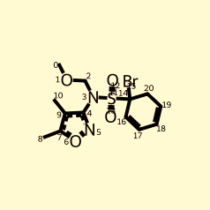 COCN(c1noc(C)c1C)S(=O)(=O)C1(Br)C=CC=CC1